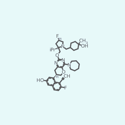 C#Cc1c(F)ccc2cc(O)cc([C@@H]3COc4c(nc(OC[C@]5(C(C)C)C[C@@H](F)CN5CC5CCC(C)(O)CC5)nc4N4CCCCCC4)C3)c12